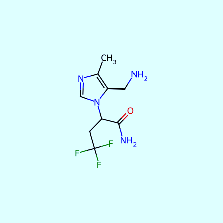 Cc1ncn(C(CC(F)(F)F)C(N)=O)c1CN